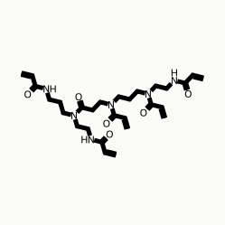 C=CC(=O)NCCCN(CCNC(=O)C=C)C(=O)CCN(CCCN(CCNC(=O)C=C)C(=O)C=C)C(=O)C=C